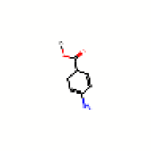 CCOC(=O)C1C=CC(N)=CC1